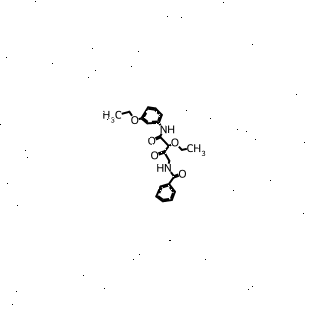 CCOc1cccc(NC(=O)C(OCC)C(=O)CNC(=O)c2ccccc2)c1